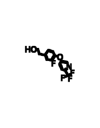 OCCc1ccc(Oc2ccc(C(F)(F)F)nc2)c(F)c1